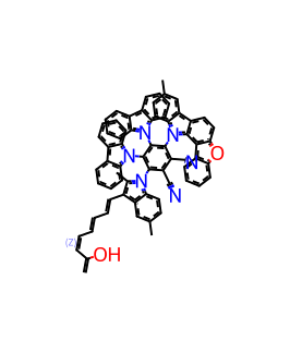 C=C(O)/C=C\C=CC=Cc1c(C)n(-c2c(C#N)c(C#N)c(-n3c4ccc(C)cc4c4ccc5oc6ccccc6c5c43)c(-n3c4ccccc4c4ccccc43)c2-n2c3ccccc3c3ccccc32)c2ccc(C)cc12